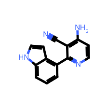 N#Cc1c(N)ccnc1-c1cccc2[nH]ccc12